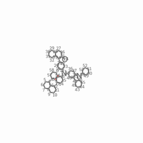 c1ccc(-c2cccc3cccc(-c4ccc(N(c5ccc6c(c5)oc5ccc7ccccc7c56)c5ccc6c(c5)c5ccccc5n6-c5ccccc5)cc4)c23)cc1